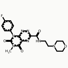 Cn1c(=O)c2nc(C(=O)NCCN3CCOCC3)nnc2n(-c2ccc(F)cc2)c1=O